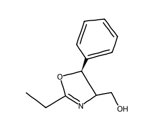 CCC1=NC(CO)[C@H](c2ccccc2)O1